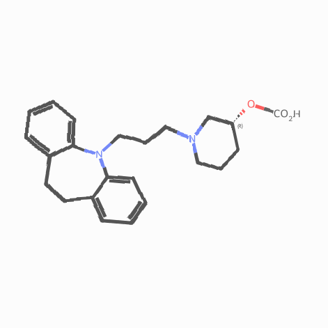 O=C(O)O[C@@H]1CCCN(CCCN2c3ccccc3CCc3ccccc32)C1